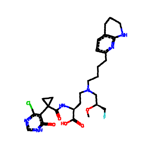 CO[C@H](CF)CN(CCCCc1ccc2c(n1)NCCC2)CC[C@H](NC(=O)C1(c2c(Cl)nc[nH]c2=O)CC1)C(=O)O